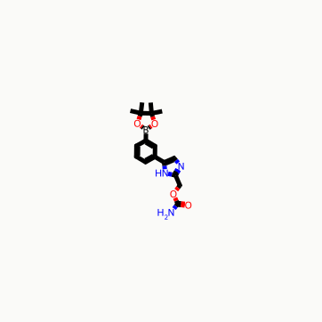 CC1(C)OB(c2cccc(-c3cnc(COC(N)=O)[nH]3)c2)OC1(C)C